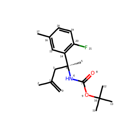 C=C(C)C[C@](C)(NC(=O)OC(C)(C)C)c1cc(C)ccc1F